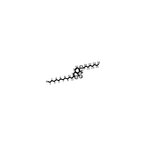 CCCCCCCCCCCCc1cc2ccc(OCCCCCCCC)c(F)c2c(=O)o1